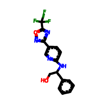 OCC(Nc1ccc(-c2noc(C(F)(F)F)n2)cn1)c1ccccc1